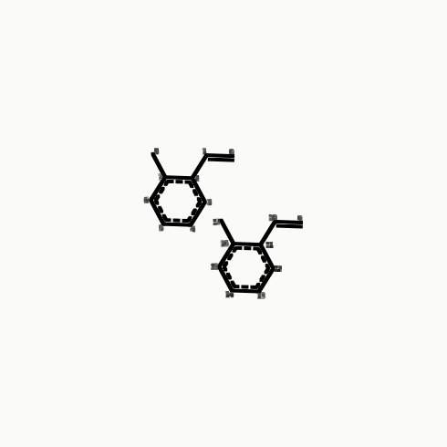 C=Cc1ccccc1C.C=Cc1ccccc1C